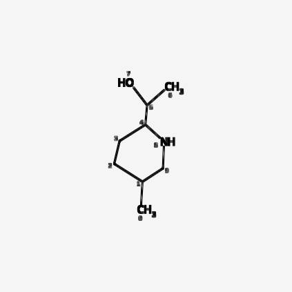 CC1CCC(C(C)O)NC1